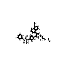 NC(=O)Cn1cc(-c2ccnc3[nH]ccc23)c(-c2ccc(NC(O)Nc3ccccc3)cc2)n1